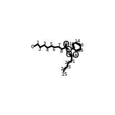 CCCCCCCCCC(=O)Oc1ccccc1OC(=O)CCCCC